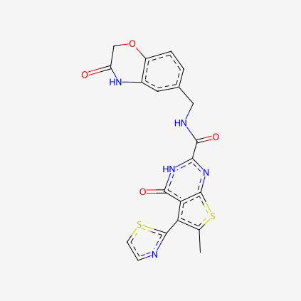 Cc1sc2nc(C(=O)NCc3ccc4c(c3)NC(=O)CO4)[nH]c(=O)c2c1-c1nccs1